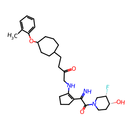 Cc1ccccc1OC1CCCC(CCC(=O)CNC2=C(C(=N)C(=O)N3CC[C@@H](O)[C@@H](F)C3)CCC2)CC1